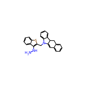 NNc1c(CN2C3=Cc4ccccc4CC3c3ccccc32)sc2ccccc12